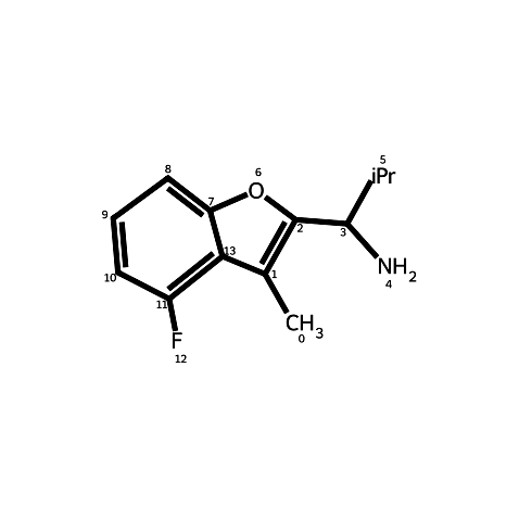 Cc1c(C(N)C(C)C)oc2cccc(F)c12